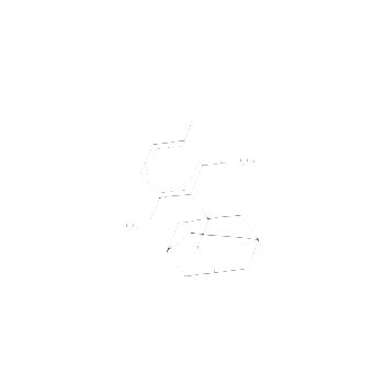 COc1ccc(C(=O)O)c(OC)c1C12CC3CC(CC(C3)C1)C2